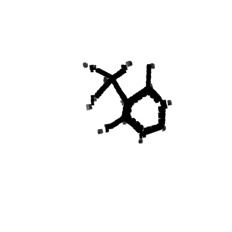 Cc1ncnc(F)c1C(F)(F)F